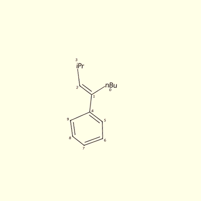 CCCCC(=CC(C)C)c1ccccc1